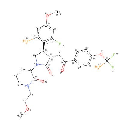 COCCN1CCCC(N2C[C@@H](c3c(F)cc(OC)cc3P)[C@H](CC(=O)c3ccc(OC(F)(F)P)cc3)C2=O)C1=O